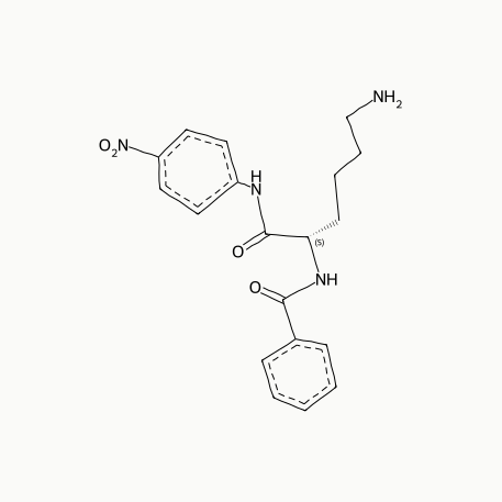 NCCCC[C@H](NC(=O)c1ccccc1)C(=O)Nc1ccc([N+](=O)[O-])cc1